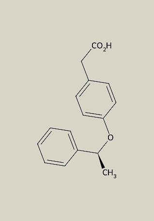 C[C@H](Oc1ccc(CC(=O)O)cc1)c1ccccc1